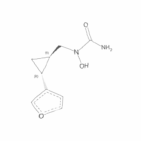 NC(=O)N(O)C[C@@H]1C[C@H]1c1ccoc1